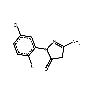 NC1=NN(c2cc(Cl)ccc2Cl)C(=O)C1